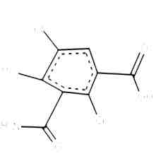 NC(=O)c1c(O)c(Cl)cc(C(=O)O)c1Cl